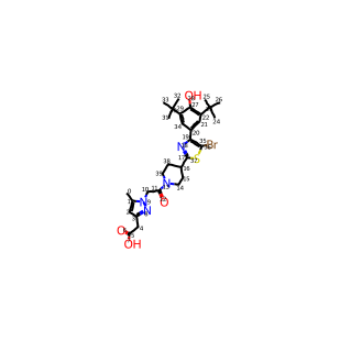 Cc1cc(CC(=O)O)nn1CC(=O)N1CCC(c2nc(-c3cc(C(C)(C)C)c(O)c(C(C)(C)C)c3)c(Br)s2)CC1